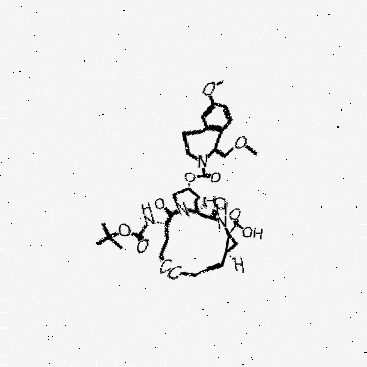 COCC1c2ccc(OC)cc2CCN1C(=O)O[C@@H]1C[C@H]2C(=O)N[C@]3(C(=O)O)C[C@H]3/C=C\CCCCC[C@H](NC(=O)OC(C)(C)C)C(=O)N2C1